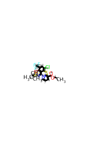 CCOC(=O)c1cccnc1Sc1c(Cl)cc(C(F)(F)F)cc1/C=N\[S+]([O-])C(C)(C)C